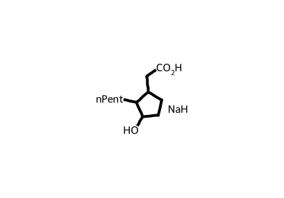 CCCCCC1C(O)CCC1CC(=O)O.[NaH]